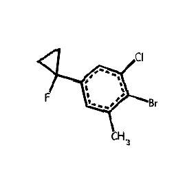 Cc1cc(C2(F)CC2)cc(Cl)c1Br